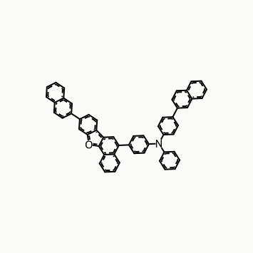 c1ccc(N(c2ccc(-c3ccc4ccccc4c3)cc2)c2ccc(-c3cc4c5ccc(-c6ccc7ccccc7c6)cc5oc4c4ccccc34)cc2)cc1